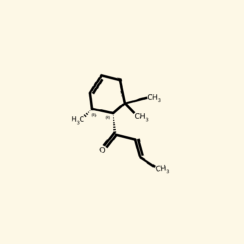 CC=CC(=O)[C@@H]1[C@H](C)C=CCC1(C)C